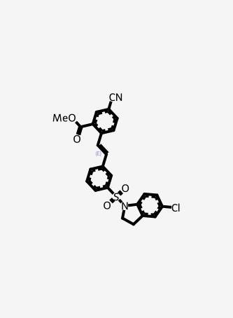 COC(=O)c1cc(C#N)ccc1/C=C/c1cccc(S(=O)(=O)N2CCc3cc(Cl)ccc32)c1